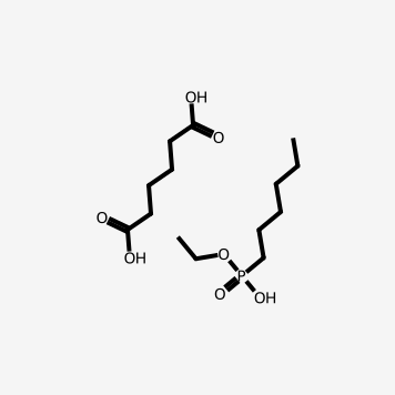 CCCCCCP(=O)(O)OCC.O=C(O)CCCCC(=O)O